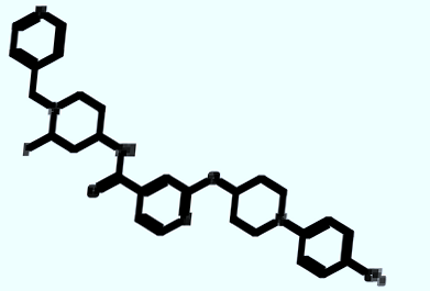 O=C(NC1CCN(Cc2ccncc2)C(I)C1)c1ccnc(OC2CCN(c3ccc(C(F)(F)F)cc3)CC2)c1